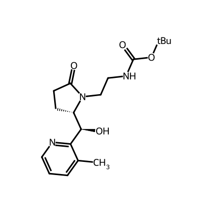 Cc1cccnc1[C@H](O)[C@@H]1CCC(=O)N1CCNC(=O)OC(C)(C)C